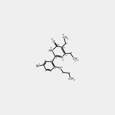 CCCOc1ccc(Br)cc1-c1nc(CC)c(CC)c(=O)[nH]1